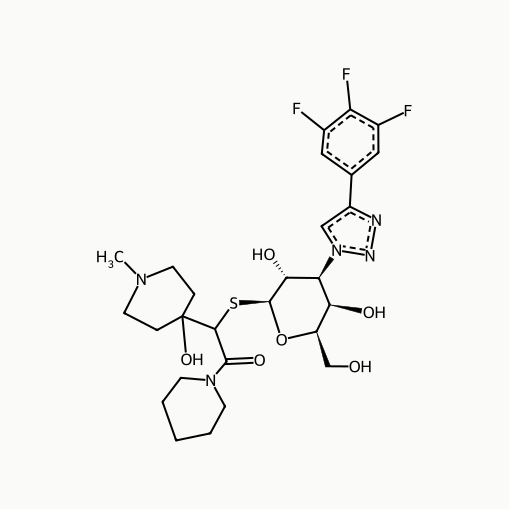 CN1CCC(O)(C(S[C@@H]2O[C@H](CO)[C@H](O)[C@H](n3cc(-c4cc(F)c(F)c(F)c4)nn3)[C@H]2O)C(=O)N2CCCCC2)CC1